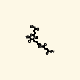 CC(C)C(=O)CCC(=O)NCCCCC(NC(=O)CCC(=O)C(C)(C)C)C(=O)C(C)(C)C